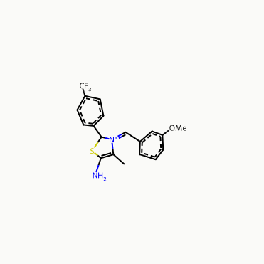 COc1cccc(C=[N+]2C(C)=C(N)SC2c2ccc(C(F)(F)F)cc2)c1